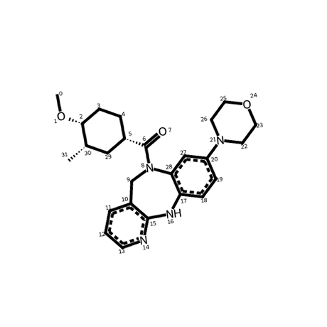 CO[C@@H]1CC[C@H](C(=O)N2Cc3cccnc3Nc3ccc(N4CCOCC4)cc32)C[C@@H]1C